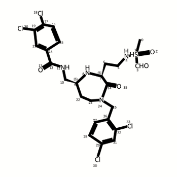 C[SH](=O)(C=O)NCC[C@@H]1N[C@H](CNC(=O)c2ccc(Cl)c(Cl)c2)CCN(Cc2ccc(Cl)cc2Cl)C1=O